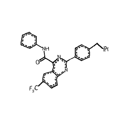 CC(C)Cc1ccc(-c2nc(C(=O)Nc3ccccc3)c3cc(C(F)(F)F)ccc3n2)cc1